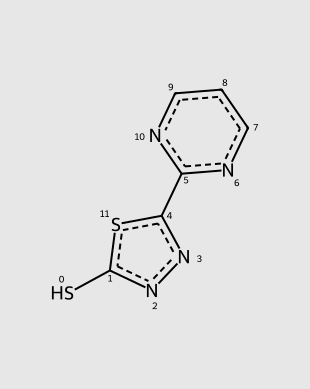 Sc1nnc(-c2ncccn2)s1